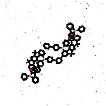 CC1(C)c2cc3c(cc2-c2c(N(c4ccc(-c5cccc(-c6cc(N(c7ccc(-c8ccccc8)cc7)c7ccc(-c8ccc9c(c8)c8ccccc8n9-c8ccccc8)cc7)c7c(c6)C(C)(C)c6cc8c(cc6-7)-c6cccc7cccc(c67)C8(C)C)c5)cc4)c4ccc(-c5ccc6c(c5)c5ccccc5n6-c5ccccc5)cc4)cccc21)-c1c(ccc2ccccc12)C3(C)C